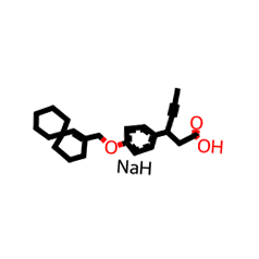 CC#CC(CC(=O)O)c1ccc(OCC2=CC3(CCCCC3)CCC2)cc1.[NaH]